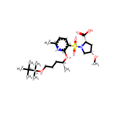 CO[C@H]1C[C@@H](C(=O)O)N(S(=O)(=O)c2ccc(C)nc2O[C@H](C)CCCO[Si](C)(C)C(C)(C)C)C1